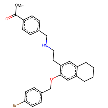 COC(=O)c1ccc(CNCCc2cc3c(cc2OCc2ccc(Br)cc2)CCCC3)cc1